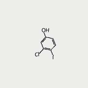 Oc1ccc(I)c(Cl)c1